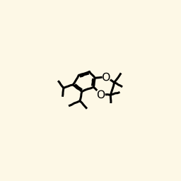 CC(C)c1ccc2c(c1C(C)C)OC(C)(C)C(C)(C)O2